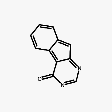 O=C1N=CN=C2C=c3ccccc3=C12